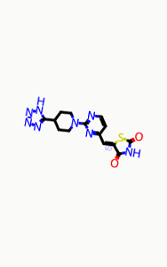 O=C1NC(=O)/C(=C/c2ccnc(N3CCC(c4nnn[nH]4)CC3)n2)S1